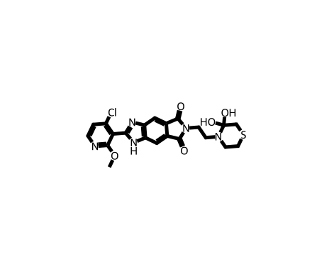 COc1nccc(Cl)c1-c1nc2cc3c(cc2[nH]1)C(=O)N(CCN1CCSCC1(O)O)C3=O